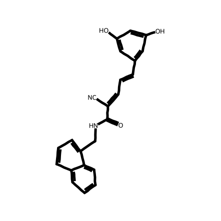 N#C/C(=C\C=C\c1cc(O)cc(O)c1)C(=O)NCc1cccc2ccccc12